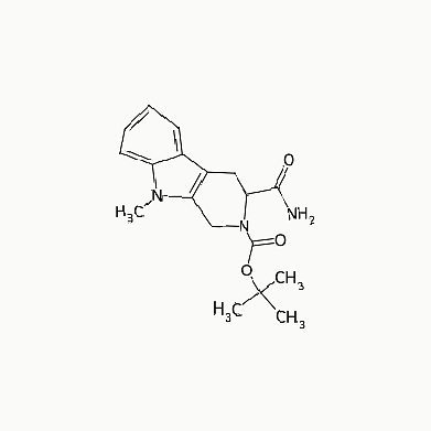 Cn1c2c(c3ccccc31)CC(C(N)=O)N(C(=O)OC(C)(C)C)C2